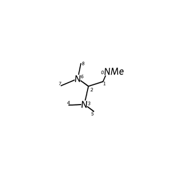 CNCC(N(C)C)N(C)C